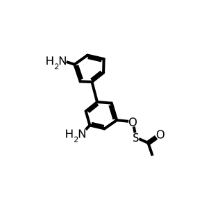 CC(=O)SOc1cc(N)cc(-c2cccc(N)c2)c1